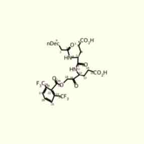 CCCCCCCCCCCC(=O)N[C@@H](CCC(=O)O)C(=O)N[C@@H](CCC(=O)O)C(=O)COC(=O)c1c(C(F)(F)F)cccc1C(F)(F)F